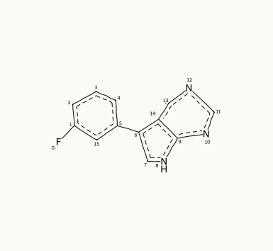 Fc1cccc(-c2c[nH]c3ncn[c]c23)c1